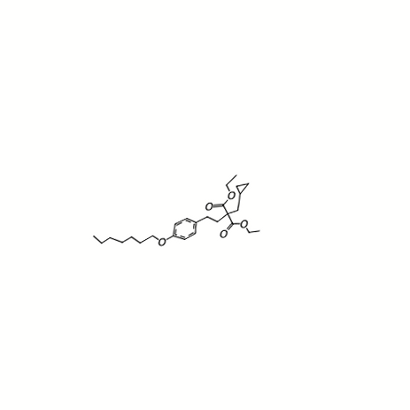 CCCCCCCOc1ccc(CCC(CC2CC2)(C(=O)OCC)C(=O)OCC)cc1